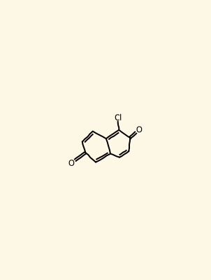 O=C1C=CC2=C(Cl)C(=O)C=CC2=C1